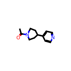 CC(=O)N1CCC(c2ccncc2)CC1